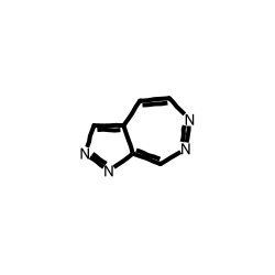 c1cc2cnnc-2cnn1